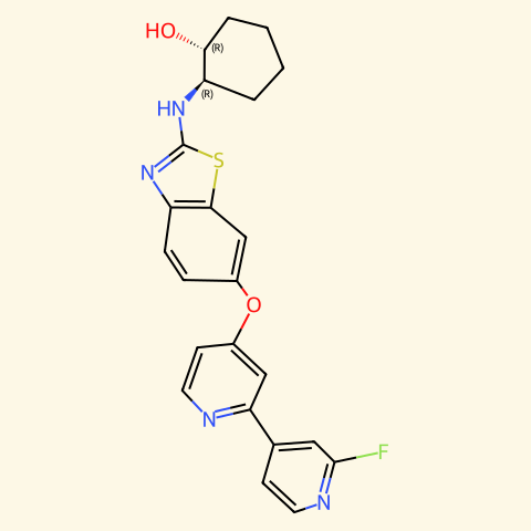 O[C@@H]1CCCC[C@H]1Nc1nc2ccc(Oc3ccnc(-c4ccnc(F)c4)c3)cc2s1